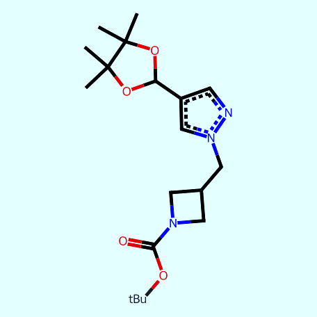 CC(C)(C)OC(=O)N1CC(Cn2cc(C3OC(C)(C)C(C)(C)O3)cn2)C1